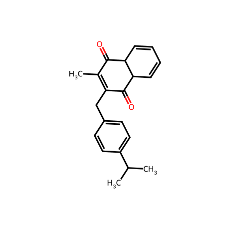 CC1=C(Cc2ccc(C(C)C)cc2)C(=O)C2C=CC=CC2C1=O